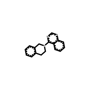 c1ccc2c(c1)CCN(c1ncnc3ccccc13)C2